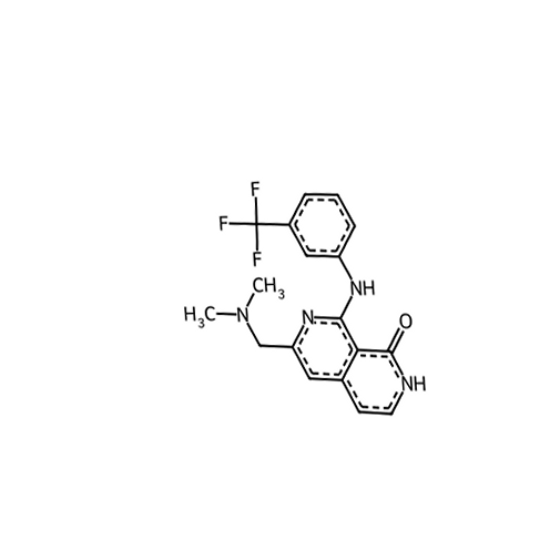 CN(C)Cc1cc2cc[nH]c(=O)c2c(Nc2cccc(C(F)(F)F)c2)n1